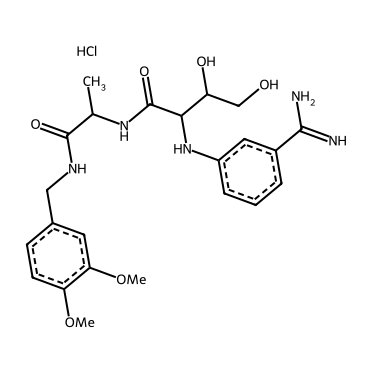 COc1ccc(CNC(=O)C(C)NC(=O)C(Nc2cccc(C(=N)N)c2)C(O)CO)cc1OC.Cl